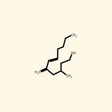 C=C(C=CCCCC)CC(C)CCO